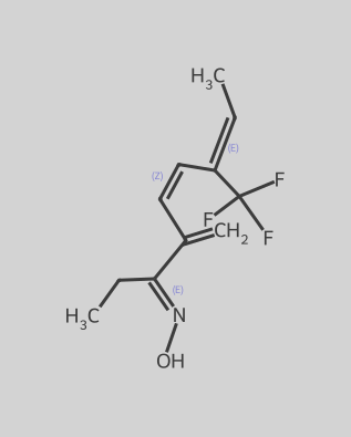 C=C(/C=C\C(=C/C)C(F)(F)F)/C(CC)=N/O